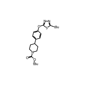 CC(C)(C)OC(=O)N1CCC(c2ccc(Oc3nnc(C(C)(C)C)s3)cc2)CC1